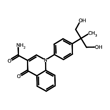 CC(CO)(CO)c1ccc(-n2cc(C(N)=O)c(=O)c3ccccc32)cc1